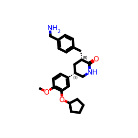 COc1ccc([C@H]2CNC(=O)[C@@H](Cc3ccc(CN)cc3)C2)cc1OC1CCCC1